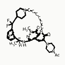 CC(=O)N1CCN(c2cc3c4nn(C)c(=O)c3n(c2=O)CCCCCCN2CCC(CC2)C(F)(F)c2cccc(c2F)[C@@H](C)N4)CC1